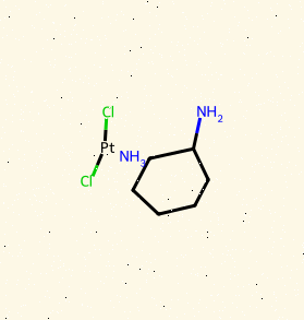 N.NC1CCCCC1.[Cl][Pt][Cl]